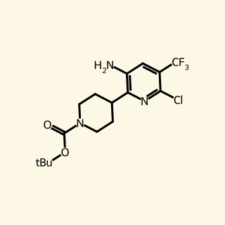 CC(C)(C)OC(=O)N1CCC(c2nc(Cl)c(C(F)(F)F)cc2N)CC1